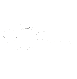 CCOC(=O)C1=C[C@H]2C(NC(=O)c3ccccc3C1=O)C(=O)N2CC(=O)OC(C)(C)C